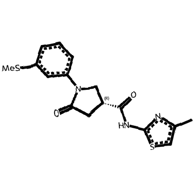 CSc1cccc(N2C[C@H](C(=O)Nc3nc(C)cs3)CC2=O)c1